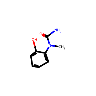 CN(C(N)=O)c1ccccc1O